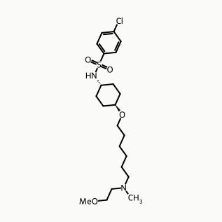 COCCN(C)CCCCCCO[C@H]1CC[C@H](NS(=O)(=O)c2ccc(Cl)cc2)CC1